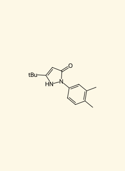 Cc1ccc(-n2[nH]c(C(C)(C)C)cc2=O)cc1C